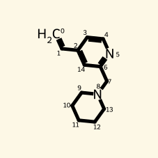 C=Cc1ccnc(CN2CCCCC2)c1